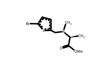 COC(=O)[C@H](C)N(C)Cc1ccc(Br)s1